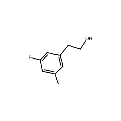 Cc1cc(F)cc(CCO)c1